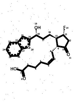 O=C(O)CCC/C=C\C[C@H]1C(=O)C[C@@H](F)[C@@H]1CC[C@@H](O)c1cc2ccccc2s1